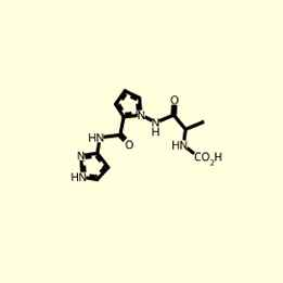 CC(NC(=O)O)C(=O)Nn1cccc1C(=O)Nc1cc[nH]n1